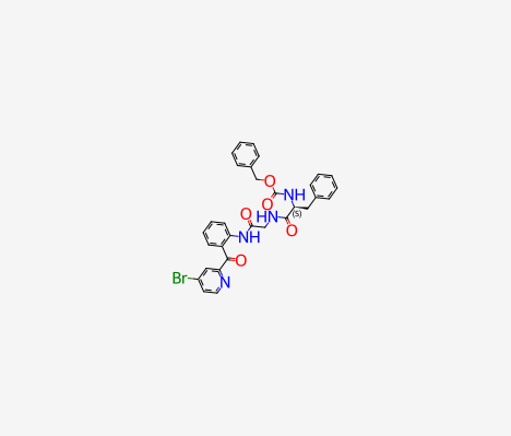 O=C(CNC(=O)[C@H](Cc1ccccc1)NC(=O)OCc1ccccc1)Nc1ccccc1C(=O)c1cc(Br)ccn1